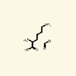 NCCCCC(N)C(=O)O.O=CCl